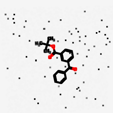 CC(C)(C)OC(=O)c1cccc(C(=O)c2ccccc2)c1